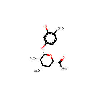 COC(=O)[C@@H]1C[C@H](OC(C)=O)[C@H](OC(C)=O)[C@H](Oc2ccc(C=O)c(O)c2)O1